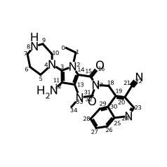 CCn1c(N2CCCNCC2)c(N)c2c1c(=O)n(Cc1c(C#N)cnc3ccccc13)c(=O)n2C